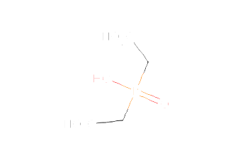 O=C(O)CP(=O)(O)CC(=O)O